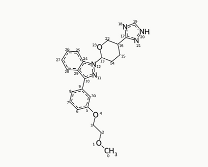 COCCOc1cccc(-c2nn(C3CCC(c4nc[nH]n4)CO3)c3ccccc23)c1